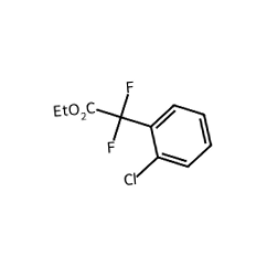 CCOC(=O)C(F)(F)c1ccccc1Cl